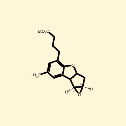 CCOC(=O)CCCc1cc(C)cc2c1OC1C[C@H]3O[C@H]3C21